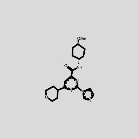 CO[C@H]1CC[C@H](NC(=O)c2cc(C3CCOCC3)nc(-n3ccnc3)n2)CC1